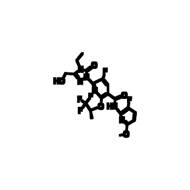 CCn1c(CO)nn(-c2nc(O[C@@H](C)C(F)(F)F)c(C(=O)Nc3nc(OC)ccc3F)cc2F)c1=O